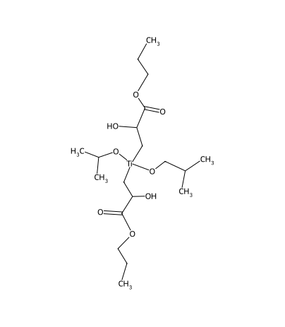 CCCOC(=O)C(O)[CH2][Ti]([CH2]C(O)C(=O)OCCC)([O]CC(C)C)[O]C(C)C